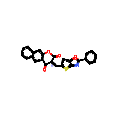 O=C1Oc2cc3ccccc3cc2C(=O)/C1=C/c1cc2oc(-c3ccccc3)nc2s1